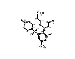 Cc1cc([N+](=O)[O-])cc(S(=O)(=O)N2CCN(C)CC2)c1N(CCBr)CCCS(=O)(=O)O